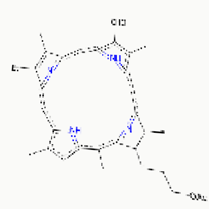 CCC1=C(C)c2cc3[nH]c(cc4nc(c(C)c5cc(C)c(cc1n2)[nH]5)[C@@H](CCCOC(C)=O)[C@@H]4C)c(C)c3C=O